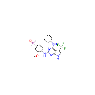 COc1cc(P(C)(C)=O)ccc1Nc1nc(NC2CCCCC2)c2c(C(F)(F)F)c[nH]c2n1